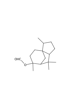 CC1CCC2C(C)(C)C3CC12CCC3(C)OC=O